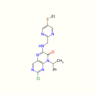 CCSc1cnc(CNc2nc3cnc(Cl)nc3n(C(C)C(C)C)c2=O)nc1